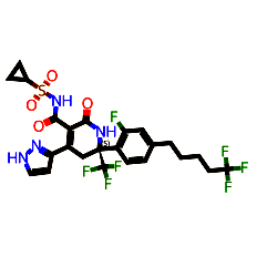 O=C1N[C@@](c2ccc(CCCCC(F)(F)F)cc2F)(C(F)(F)F)CC(c2cc[nH]n2)=C1C(=O)NS(=O)(=O)C1CC1